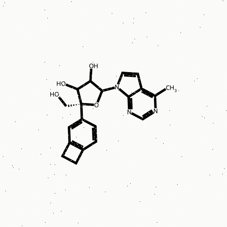 Cc1ncnc2c1ccn2C1O[C@@](CO)(c2ccc3c(c2)CC3)C(O)C1O